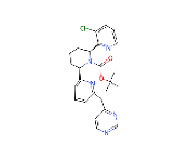 CC(C)(C)OC(=O)N1[C@@H](c2cccc(Cc3ccncn3)n2)CCC[C@H]1c1ncccc1Cl